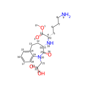 COC(=O)[C@H](CCCCN)N[C@H]1CCc2ccccc2N(CC(=O)O)C1=O